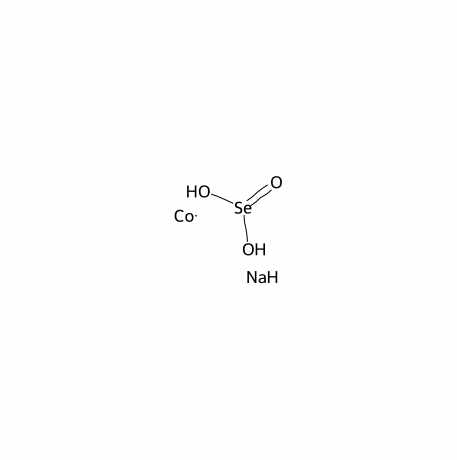 O=[Se](O)O.[Co].[NaH]